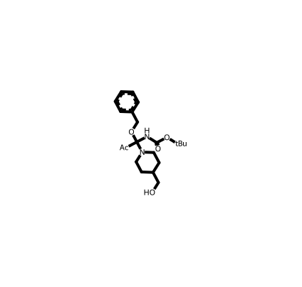 CC(=O)C(NC(=O)OC(C)(C)C)(OCc1ccccc1)N1CCC(CO)CC1